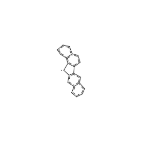 [CH]1c2cc3ccccc3cc2-c2ccc3ccccc3c21